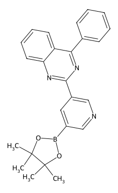 CC1(C)OB(c2cncc(-c3nc(-c4ccccc4)c4ccccc4n3)c2)OC1(C)C